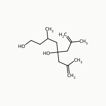 C=C(C)CC(O)(CC(=C)C)CC(C)CCO